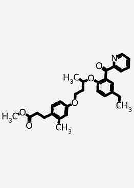 CCc1ccc(OC(C)CCOc2ccc(CCC(=O)OC)c(C)c2)c(C(=O)c2ccccn2)c1